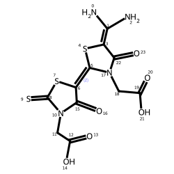 NC(N)=c1s/c(=C2\SC(=S)N(CC(=O)O)C2=O)n(CC(=O)O)c1=O